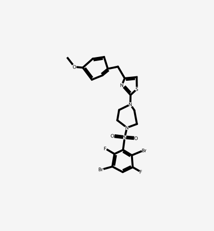 COc1ccc(Cc2csc(N3CCN(S(=O)(=O)c4c(F)c(Br)cc(F)c4Br)CC3)n2)cc1